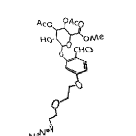 COC(=O)C1OC(Oc2cc(OCCOCCN=[N+]=[N-])ccc2C=O)[C@H](O)C(OC(C)=O)[C@@H]1OC(C)=O